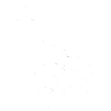 COCCOC(=O)NC(CC1CCCCC1)C(O)CC(Cc1ccc(OCCN2CCOCC2)cc1)C(=O)N[C@H]1c2ccccc2C[C@@H]1O